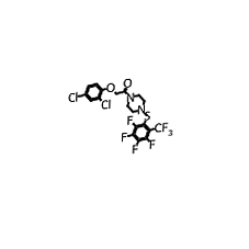 O=C(COc1ccc(Cl)cc1Cl)N1CCN(Sc2c(F)c(F)c(F)c(F)c2C(F)(F)F)CC1